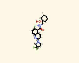 C[C@@H]1CCC[C@](O)(CNC(=O)c2c(Cl)ccc3nc(N4CCC(F)(F)C4)ccc23)C1